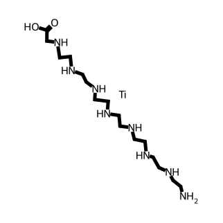 NCCNCCNCCNCCNCCNCCNCCNCC(=O)O.[Ti]